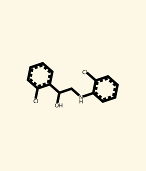 OC(CNc1ccccc1Cl)c1ccccc1Cl